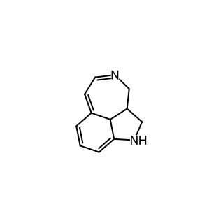 C1=CC2=CC=NCC3CNC(=C1)C23